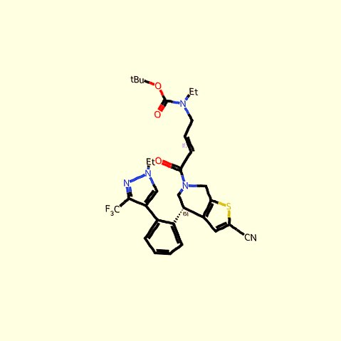 CCN(C/C=C/C(=O)N1Cc2sc(C#N)cc2[C@H](c2ccccc2-c2cn(CC)nc2C(F)(F)F)C1)C(=O)OC(C)(C)C